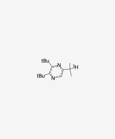 [3H]C(C)(C)c1cnc(C(C)(C)C)c(C(C)(C)C)n1